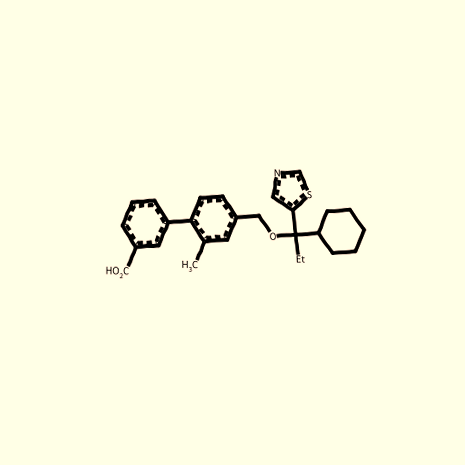 CCC(OCc1ccc(-c2cccc(C(=O)O)c2)c(C)c1)(c1cncs1)C1CCCCC1